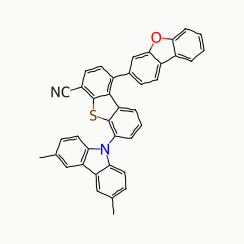 Cc1ccc2c(c1)c1cc(C)ccc1n2-c1cccc2c1sc1c(C#N)ccc(-c3ccc4c(c3)oc3ccccc34)c12